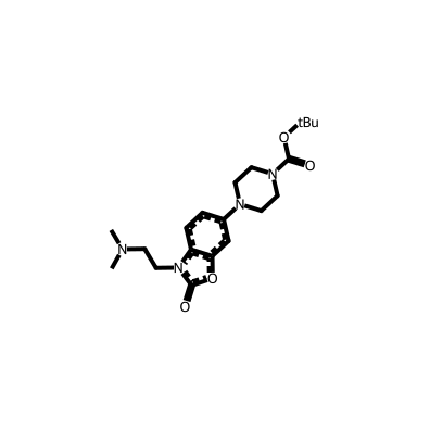 CN(C)CCn1c(=O)oc2cc(N3CCN(C(=O)OC(C)(C)C)CC3)ccc21